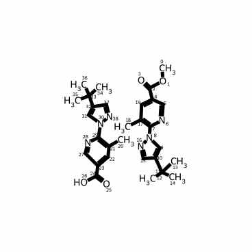 COC(=O)c1cnc(-n2cc(C(C)(C)C)cn2)c(C)c1.Cc1cc(C(=O)O)cnc1-n1cc(C(C)(C)C)cn1